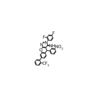 N=c1c2c(ncn1-c1ccc(F)cc1F)Oc1cc(-c3ccccc3C(F)(F)F)ccc1C2c1cccc([N+](=O)[O-])c1